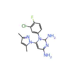 Cc1cc(C)n(C2=CC(N)=NC(N)N2c2ccc(F)c(Cl)c2)n1